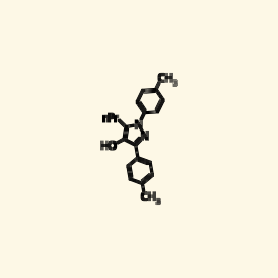 CCCc1c(O)c(-c2ccc(C)cc2)nn1-c1ccc(C)cc1